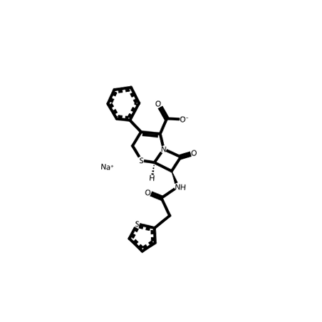 O=C(Cc1cccs1)N[C@@H]1C(=O)N2C(C(=O)[O-])=C(c3ccccc3)CS[C@H]12.[Na+]